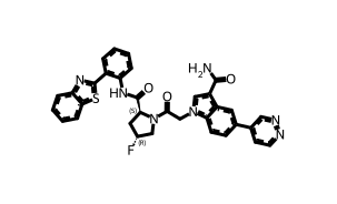 NC(=O)c1cn(CC(=O)N2C[C@H](F)C[C@H]2C(=O)Nc2ccccc2-c2nc3ccccc3s2)c2ccc(-c3ccnnc3)cc12